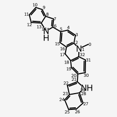 CN1c2ccc(-c3cc4ccccc4[nH]3)cc2Cc2cc(-c3cc4ccccc4[nH]3)ccc21